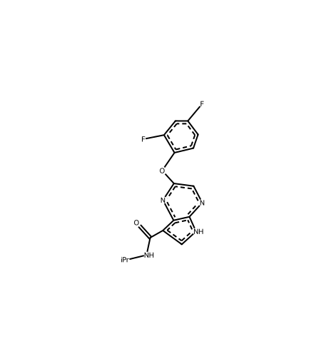 CC(C)NC(=O)c1c[nH]c2ncc(Oc3ccc(F)cc3F)nc12